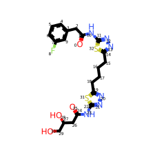 O=C(Cc1cccc(F)c1)Nc1nnc(CCCCc2nnc(NC(=O)CC(O)CO)s2)s1